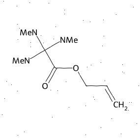 C=CCOC(=O)C(NC)(NC)NC